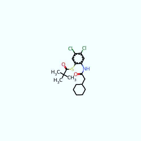 CC(C)(C)C(=O)Sc1cc(Cl)c(Cl)cc1NC(=O)CC1CCCCC1